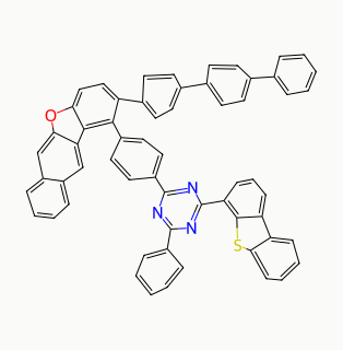 c1ccc(-c2ccc(-c3ccc(-c4ccc5oc6cc7ccccc7cc6c5c4-c4ccc(-c5nc(-c6ccccc6)nc(-c6cccc7c6sc6ccccc67)n5)cc4)cc3)cc2)cc1